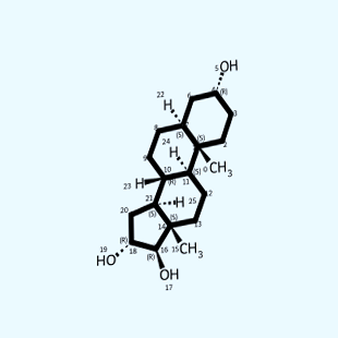 C[C@]12CC[C@@H](O)C[C@@H]1CC[C@@H]1[C@@H]2CC[C@]2(C)[C@@H](O)[C@H](O)C[C@@H]12